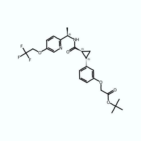 C[C@@H](NC(=O)[C@H]1C[C@@H]1c1cccc(OCC(=O)OC(C)(C)C)c1)c1ccc(OCC(F)(F)F)cn1